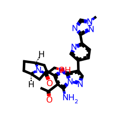 CC(=O)c1c(C2C[C@H]3CC[C@@H](C2)N3C(=O)CO)nc2c(-c3ccc(-c4ncn(C)n4)nc3)cnn2c1N